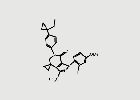 COc1ccc(-n2nc(C(=O)O)c3c2C(=O)N(c2ccc(C4(CBr)CC4)cc2)CC32CC2)c(F)c1